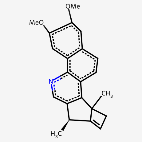 COc1cc2ccc3c4c(cnc3c2cc1OC)[C@H](C)C1=CCC14C